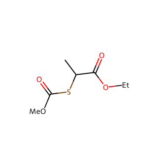 CCOC(=O)C(C)SC(=O)OC